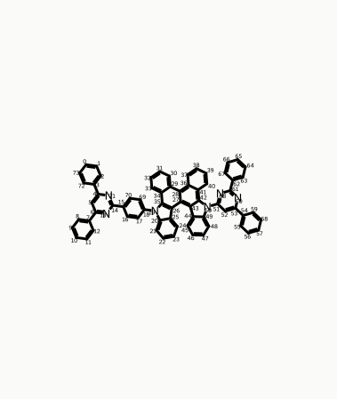 c1ccc(-c2cc(-c3ccccc3)nc(-c3ccc(-n4c5ccccc5c5c6c(c7ccccc7c54)c4ccccc4c4c6c5ccccc5n4-c4cc(-c5ccccc5)nc(-c5ccccc5)n4)cc3)n2)cc1